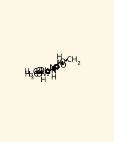 C=CCOC(=O)Nc1ccc2[nH]c(-c3ccc(NC(=O)OC(C)(C)C)cc3)nc2c1